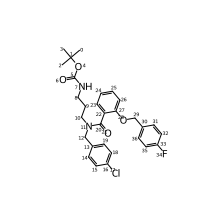 CC(C)(C)OC(=O)NCCCN(Cc1ccc(Cl)cc1)C(=O)c1ccccc1OCc1ccc(F)cc1